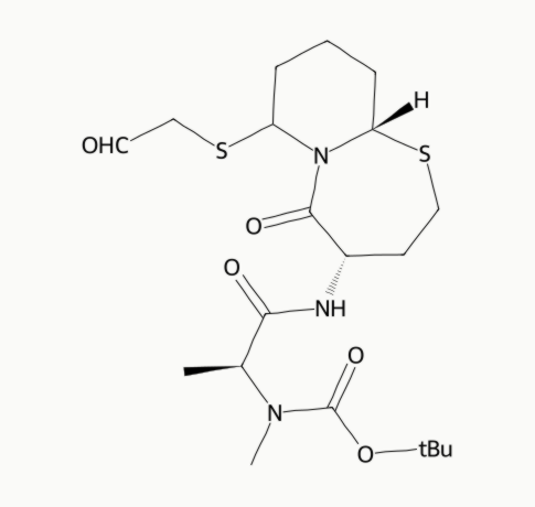 C[C@@H](C(=O)N[C@H]1CCS[C@H]2CCCC(SCC=O)N2C1=O)N(C)C(=O)OC(C)(C)C